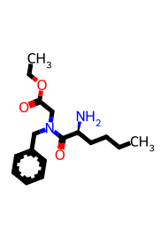 CCCC[C@H](N)C(=O)N(CC(=O)OCC)Cc1ccccc1